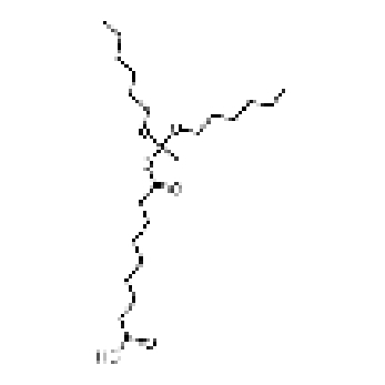 CCCCCCOC(C)(OCCCCCC)OC(=O)CCCCCCCC(=O)O